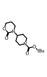 CC(C)(C)OC(=O)N1CCC(N2CCCOC2=O)CC1